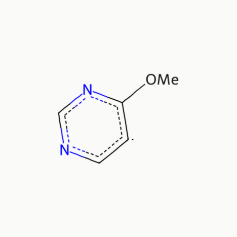 COc1[c]cncn1